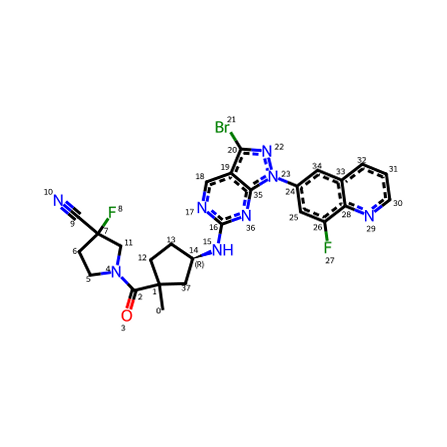 CC1(C(=O)N2CCC(F)(C#N)C2)CC[C@@H](Nc2ncc3c(Br)nn(-c4cc(F)c5ncccc5c4)c3n2)C1